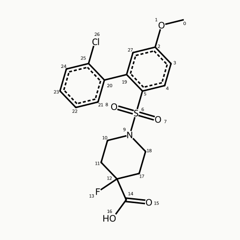 COc1ccc(S(=O)(=O)N2CCC(F)(C(=O)O)CC2)c(-c2ccccc2Cl)c1